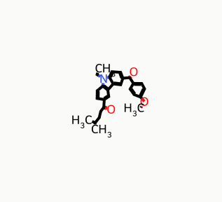 CCn1c2ccc(C(=O)CCC(C)C)cc2c2cc(C(=O)c3ccc(OC)cc3)ccc21